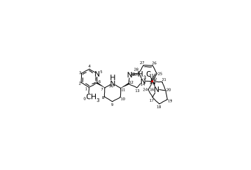 Cc1cccnc1[C@@H]1CCC[C@H](C2CN3C(N4C5CCC4CN(C)C5)=CC=CC3=N2)N1